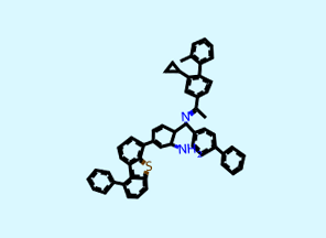 C/C(=N\C(c1ccc(-c2ccccc2)cc1)C1C=CC(c2cccc3c2sc2cccc(-c4ccccc4)c23)=CC1N)c1ccc(-c2ccccc2C)c(C2CC2)c1